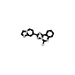 Clc1nc2ccccc2c2nc(-c3ccn4ccnc4c3)nn12